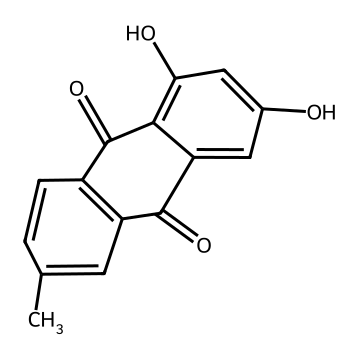 Cc1ccc2c(c1)C(=O)c1cc(O)cc(O)c1C2=O